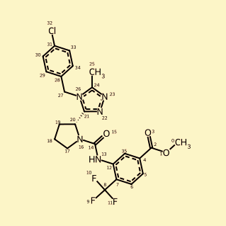 COC(=O)c1ccc(C(F)(F)F)c(NC(=O)N2CCC[C@@H]2c2nnc(C)n2Cc2ccc(Cl)cc2)c1